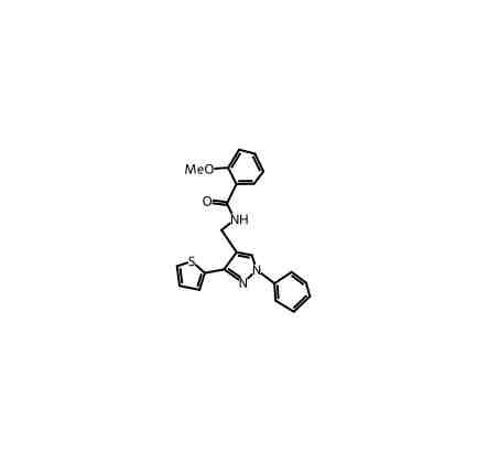 COc1ccccc1C(=O)NCc1cn(-c2ccccc2)nc1-c1cccs1